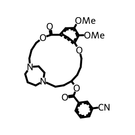 COc1cc2cc(c1OC)OCCCC(OC(=O)c1cccc(C#N)c1)CCN1CCCN(CCCOC2=O)CC1